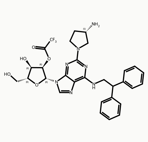 N[C@H]1CCN(c2nc(NCC(c3ccccc3)c3ccccc3)c3ncn([C@@H]4O[C@H](CO)[C@@H](O)[C@H]4OC(=O)C(F)(F)F)c3n2)C1